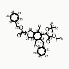 CCOC(=O)[C@@H](OC(C)(C)C)c1c(C)c2c(c(C)c1Cc1ccccc1)CN(C(=O)OCc1ccccc1)C2